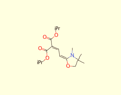 CC(C)OC(=O)C(=CC=C1OCC(C)(C)N1C)C(=O)OC(C)C